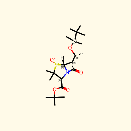 C[C@@H](O[Si](C)(C)C(C)(C)C)[C@@H]1C(=O)N2[C@@H]1[S+]([O-])C(C)(C)[C@@H]2C(=O)OC(C)(C)C